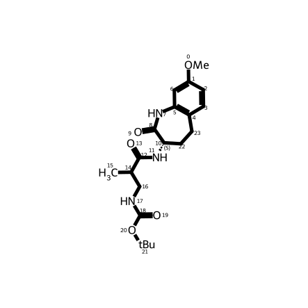 COc1ccc2c(c1)NC(=O)[C@@H](NC(=O)C(C)CNC(=O)OC(C)(C)C)CC2